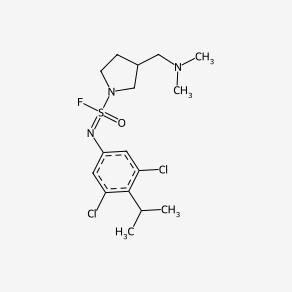 CC(C)c1c(Cl)cc(N=S(=O)(F)N2CCC(CN(C)C)C2)cc1Cl